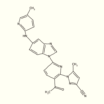 CC(=O)c1ccc(-n2cnc3cc(Nc4ccc(C)cn4)ccc32)nc1-n1nc(C#N)cc1C